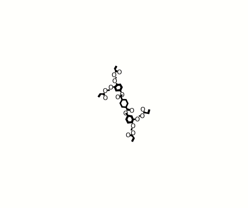 C=CC(=O)OCOc1ccc(OC(=O)C2CCC(C(=O)Oc3ccc(OCOC(=O)C=C)c(OCOC(=O)C=C)c3)CC2)cc1OCOC(=O)C=C